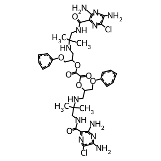 CC(C)(CNC(=O)c1nc(Cl)c(N)nc1N)NCC(COc1ccccc1)OC(=O)C(=O)OC(CNC(C)(C)CNC(=O)c1nc(Cl)c(N)nc1N)COc1ccccc1